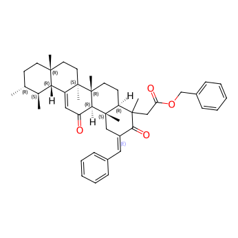 C[C@H]1[C@H](C)CC[C@]2(C)CC[C@]3(C)C(=CC(=O)[C@@H]4[C@@]5(C)C/C(=C\c6ccccc6)C(=O)C(C)(CC(=O)OCc6ccccc6)[C@@H]5CC[C@]43C)[C@H]12